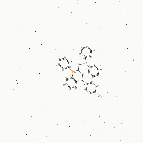 Clc1ccc(CCC(CP(c2ccccc2)c2ccccc2)P(c2ccccc2)c2ccccc2)cc1